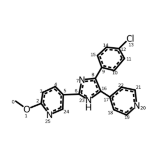 COc1ccc(-c2nc(-c3ccc(Cl)cc3)c(-c3ccncc3)[nH]2)cn1